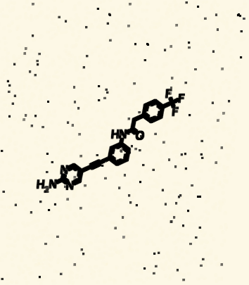 Nc1ncc(C#Cc2cccc(NC(=O)Cc3ccc(C(F)(F)F)cc3)c2)cn1